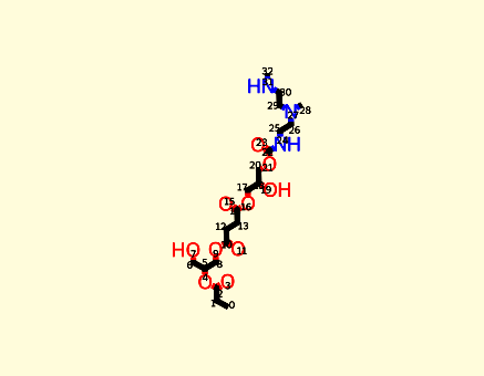 CCC(=O)OC(CO)COC(=O)CCC(=O)OCC(O)COC(=O)NCCN(C)CCNC